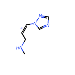 CNC/C=C\n1cncn1